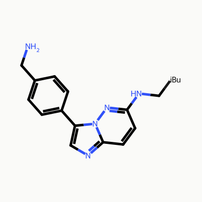 CCC(C)CNc1ccc2ncc(-c3ccc(CN)cc3)n2n1